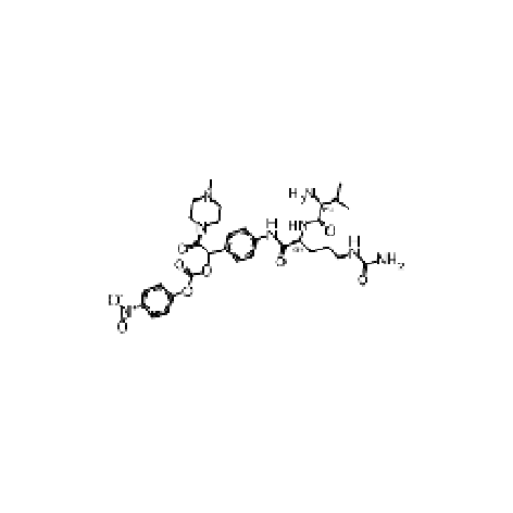 CC(C)[C@H](N)C(=O)N[C@@H](CCCNC(N)=O)C(=O)Nc1ccc(C(OC(=O)Oc2ccc([N+](=O)[O-])cc2)C(=O)N2CCN(C)CC2)cc1